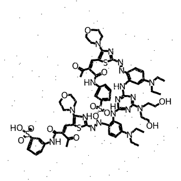 CCN(CC)c1ccc(/N=N/c2nc(N3CCOCC3)c(/C=C(/C(C)=O)C(=O)Nc3cccc(S(=O)(=O)O)c3)s2)c(Nc2nc(Nc3cc(N(CC)CC)ccc3/N=N/c3nc(N4CCOCC4)c(/C=C(\C(C)=O)C(=O)Nc4cccc(S(=O)(=O)O)c4)s3)nc(N(CCO)CCO)n2)c1